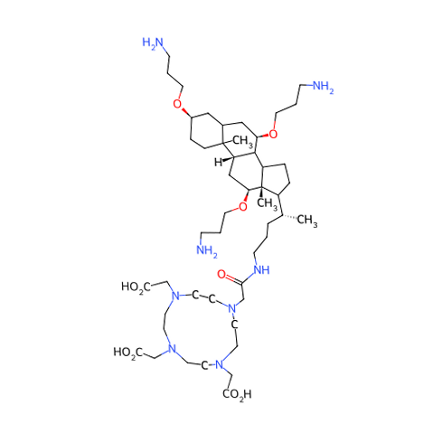 C[C@H](CCCNC(=O)CN1CCN(CC(=O)O)CCN(CC(=O)O)CCN(CC(=O)O)CC1)C1CCC2C3[C@H](OCCCN)CC4C[C@H](OCCCN)CCC4(C)[C@H]3C[C@H](OCCCN)[C@]21C